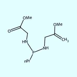 C=C(CNP(CCC)NCC(=O)OC)OC